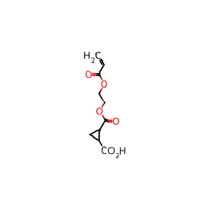 C=CC(=O)OCCOC(=O)C1CC1C(=O)O